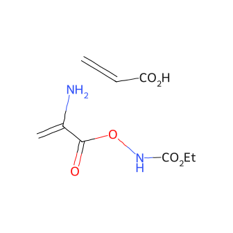 C=C(N)C(=O)ONC(=O)OCC.C=CC(=O)O